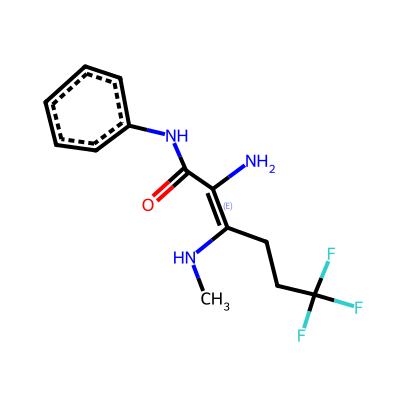 CN/C(CCC(F)(F)F)=C(/N)C(=O)Nc1ccccc1